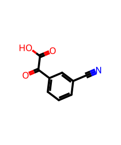 N#Cc1cccc(C(=O)C(=O)O)c1